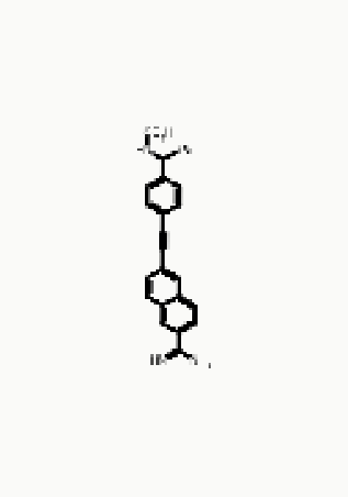 CC(C)(C)C(NC(=O)O)c1ccc(C#Cc2ccc3cc(C(=N)N)ccc3c2)cc1